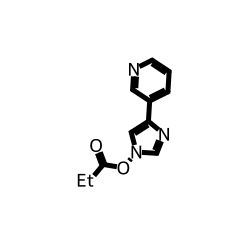 CCC(=O)On1cnc(-c2cccnc2)c1